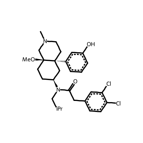 CO[C@]12CC[C@H](N(CC(C)C)C(=O)Cc3ccc(Cl)c(Cl)c3)C[C@]1(c1cccc(O)c1)CCN(C)C2